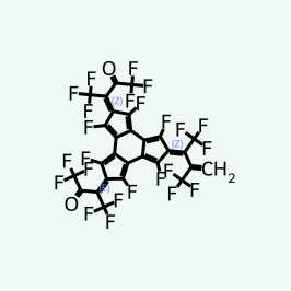 C=C(/C(=C1/C(F)=c2c3c(c4c(c2=C1F)=C(F)/C(=C(/C(=O)C(F)(F)F)C(F)(F)F)C=4F)=C(F)/C(=C(/C(=O)C(F)(F)F)C(F)(F)F)C=3F)C(F)(F)F)C(F)(F)F